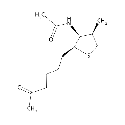 CC(=O)CCCC[C@@H]1SC[C@H](C)[C@@H]1NC(C)=O